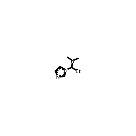 CCC(N(C)C)n1ccnc1